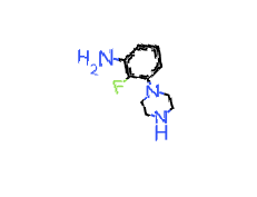 Nc1cccc(N2CCNCC2)c1F